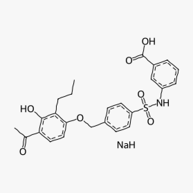 CCCc1c(OCc2ccc(S(=O)(=O)Nc3cccc(C(=O)O)c3)cc2)ccc(C(C)=O)c1O.[NaH]